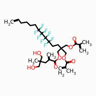 C=CCCCCC(F)(F)C(F)(F)C(F)(F)C(F)(F)CCC(COC(=O)C(=C)C)(COC(=O)C(=C)C)COC(=O)C(=C)CC(C)(CO)CO